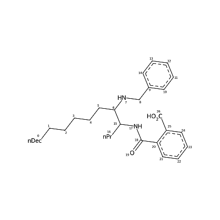 CCCCCCCCCCCCCCCC(NCc1ccccc1)C(CCC)NC(=O)c1ccccc1C(=O)O